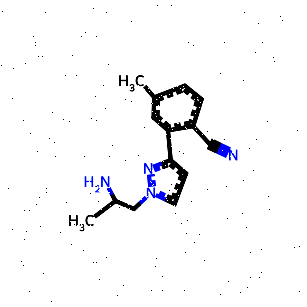 Cc1ccc(C#N)c(-c2ccn(CC(C)N)n2)c1